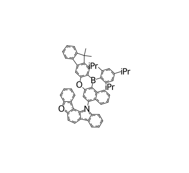 CC(C)c1cc(C(C)C)c(B2c3cc4c(cc3Oc3cc(-n5c6ccccc6c6ccc7oc8ccccc8c7c65)c5ccccc5c32)-c2ccccc2C4(C)C)c(C(C)C)c1